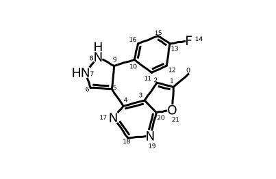 Cc1cc2c(C3=CNNC3c3ccc(F)cc3)ncnc2o1